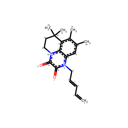 C=C/C=C/Cn1c(=O)c(=O)n2c3c(c(C)c(C)cc31)C(C)(C)CC2